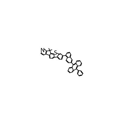 CC1(C)c2cnccc2-c2ccc3c(sc4cc(-c5cccc6cc(-c7c8ccccc8c(-c8ccccc8)c8ccccc78)ccc56)ccc43)c21